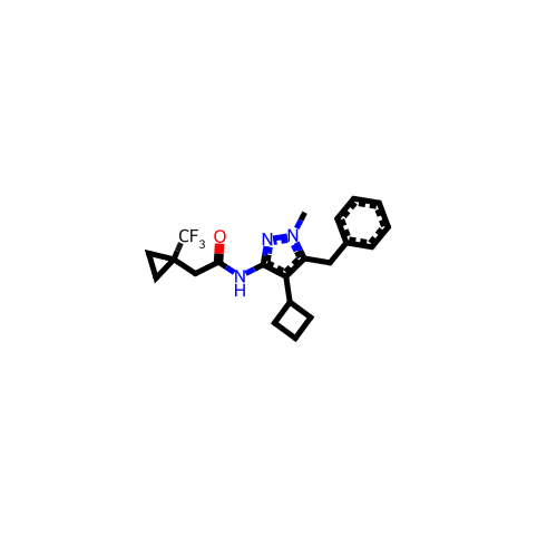 Cn1nc(NC(=O)CC2(C(F)(F)F)CC2)c(C2CCC2)c1Cc1ccccc1